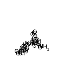 COc1cc2cc(C(=O)N3CC(CCl)c4c3cc(OC(=O)N(C)CCN(C)C(=O)OCc3ccc(NC(=O)C(CCCNC(N)=O)NC(=O)[C@H](NC(=O)OCCOCCN5C(=O)C=CC5=O)C(C)C)cc3)c3oc(C)nc43)[nH]c2c(OC)c1OC